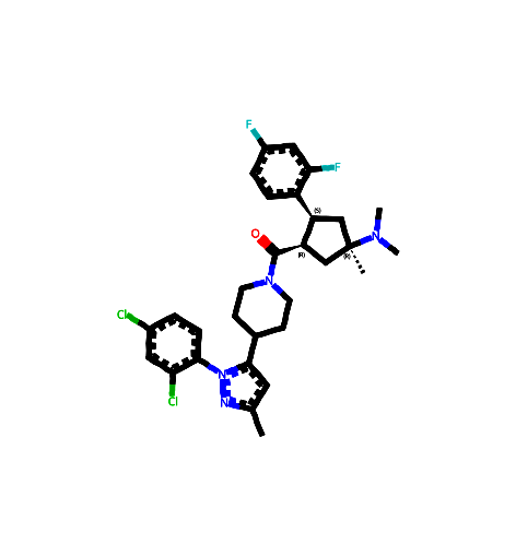 Cc1cc(C2CCN(C(=O)[C@@H]3C[C@](C)(N(C)C)C[C@@H]3c3ccc(F)cc3F)CC2)n(-c2ccc(Cl)cc2Cl)n1